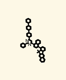 CC1(C)c2cc3ccccc3cc2-c2cccc(-c3ccc(-c4cc(-c5ccc(-c6ccc(-c7ccccc7)cc6)cc5)nc(-c5ccccc5)n4)c4ccccc34)c21